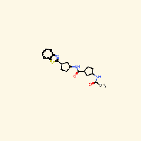 CC(=O)NC1CCC(C(=O)NC2CCC(c3nc4ccccc4s3)C2)C1